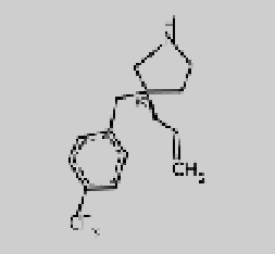 C=CC[C@]1(Cc2ccc(C(F)(F)F)cc2)CCNC1